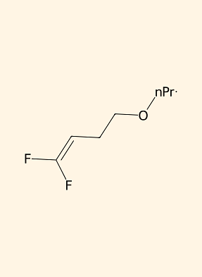 CC[CH]OCCC=C(F)F